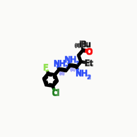 CCC(CC(=O)[C@H](C)CC)/C(N)=C(N)/C=C(\N)c1cc(Cl)ccc1F